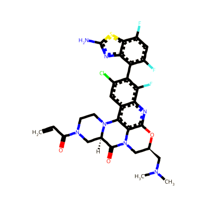 C=CC(=O)N1CCN2c3c4c(nc5c(F)c(-c6c(F)cc(F)c7sc(N)nc67)c(Cl)cc35)O[C@@H](CN(C)C)CN4C(=O)[C@H]2C1